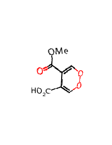 COC(=O)C1=COOC=C1C(=O)O